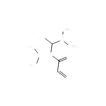 C=CC(=O)OC(CCC)[SiH](OC)OC.CC(C)(C)O[SiH3]